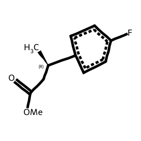 COC(=O)C[C@@H](C)c1ccc(F)cc1